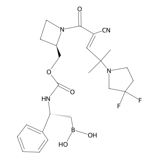 CC(C)(C=C(C#N)C(=O)N1CC[C@@H]1COC(=O)N[C@H](CB(O)O)c1ccccc1)N1CCC(F)(F)C1